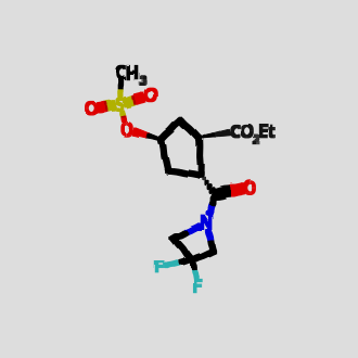 CCOC(=O)[C@@H]1C[C@H](OS(C)(=O)=O)C[C@H]1C(=O)N1CC(F)(F)C1